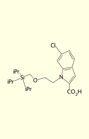 CC(C)[Si](COCCn1c(C(=O)O)cc2ccc(Cl)cc21)(C(C)C)C(C)C